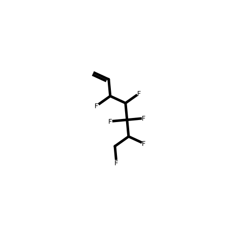 C=CC(F)C(F)C(F)(F)C(F)CF